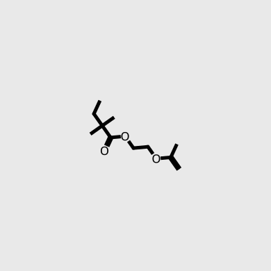 C=C(C)OCCOC(=O)C(C)(C)CC